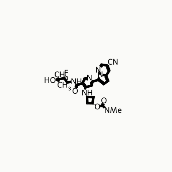 CNC(=O)O[C@H]1C[C@@H](Nc2cc(-c3ccc4cc(C#N)cnn34)ncc2C(=O)NC[C@@H](F)C(C)(C)O)C1